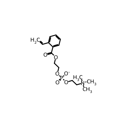 C=Cc1ccccc1C(=O)OCCOP(=O)([O-])OCC[N+](C)(C)C